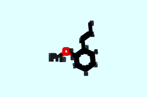 CC=Cc1ccccc1OC(C)C